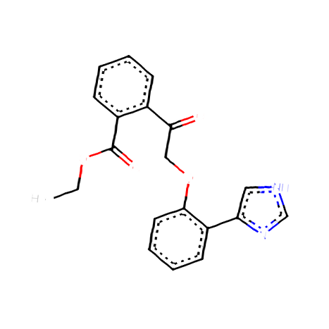 CCOC(=O)c1ccccc1C(=O)COc1ccccc1-c1c[nH]cn1